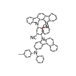 Cc1ccc(N(c2ccccc2)c2ccc3c(c2)c2c4ccccc4ccc2n3-c2cc(C#N)c(-n3c4ccccc4c4ccc5c6ccccc6n(-c6ccccc6)c5c43)cc2C#N)cc1